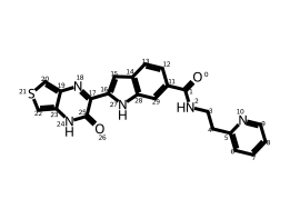 O=C(NCCc1ccccn1)c1ccc2cc(-c3nc4cscc4[nH]c3=O)[nH]c2c1